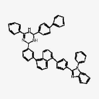 c1ccc(C2=NC(c3cccc(-c4cccc5c(-c6ccc(-c7nc8ccccc8n7-c7ccccc7)cc6)cccc45)c3)NC(c3ccc(-c4ccccc4)cc3)N2)cc1